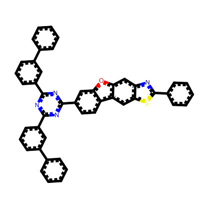 c1ccc(-c2cccc(-c3nc(-c4cccc(-c5ccccc5)c4)nc(-c4ccc5c(c4)oc4cc6nc(-c7ccccc7)sc6cc45)n3)c2)cc1